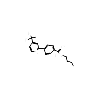 CCCCNC(=O)c1ccc(-c2cc(C(F)(F)F)ccn2)cc1